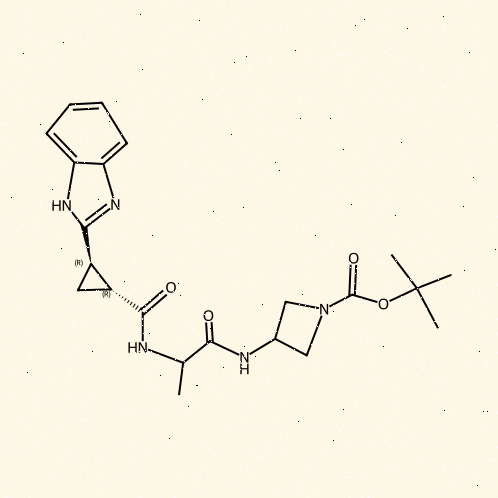 CC(NC(=O)[C@@H]1C[C@H]1c1nc2ccccc2[nH]1)C(=O)NC1CN(C(=O)OC(C)(C)C)C1